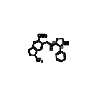 COc1cc2c(cc1CN[C@H]1CCN[C@H]1c1ccccc1)C(C(F)(F)F)CC2